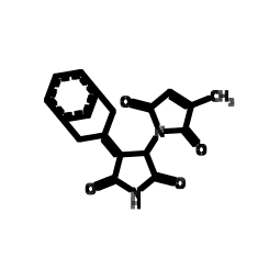 CC1=CC(=O)N(C2C(=O)NC(=O)C2=C2Cc3cccc(c3)C2)C1=O